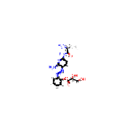 C[C@H](N)C(=O)Nc1ccc(/N=N/c2ccccc2OC(=O)[C@@H](O)CO)c(N)n1